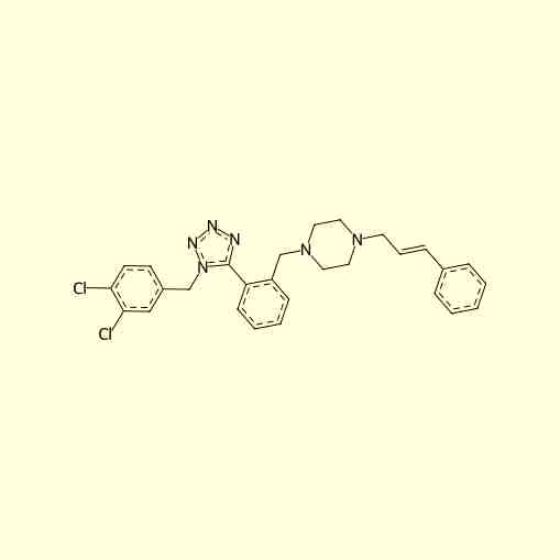 Clc1ccc(Cn2nnnc2-c2ccccc2CN2CCN(CC=Cc3ccccc3)CC2)cc1Cl